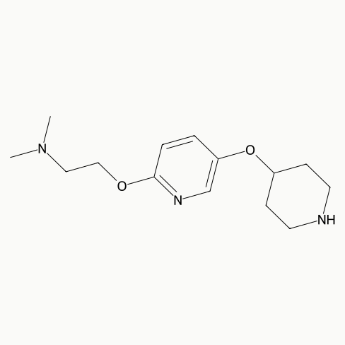 CN(C)CCOc1ccc(OC2CCNCC2)cn1